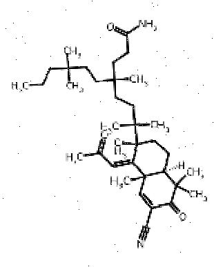 CCCC(C)(C)CC[C@](C)(CCC(N)=O)CCC(C)(C)[C@]1(C)CC[C@H]2C(C)(C)C(=O)C(C#N)=C[C@]2(C)/C1=C/C(C)=O